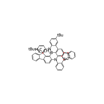 CC(C)(C)c1ccc(N2B3c4c(ccc5c4C(C)(C)c4ccccc4-5)N(c4ccccc4-c4ccccc4)c4c3c(cc3c4sc4ccccc43)-c3cc(C(C)(C)C)ccc32)cc1